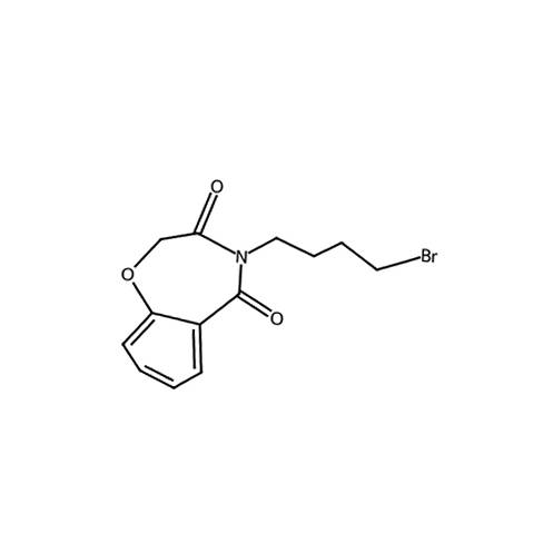 O=C1COc2ccccc2C(=O)N1CCCCBr